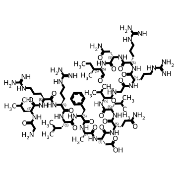 CC[C@H](C)[C@@H](C=O)NC(=O)[C@H](CC(N)=O)NC(=O)[C@H](CCCNC(=N)N)NC(=O)[C@H](CCCNC(=N)N)NC(=O)CNC(=O)[C@@H](NC(=O)[C@H](CC(C)C)NC(=O)[C@H](CCC(N)=O)NC(=O)[C@H](CC(=O)O)NC(=O)[C@H](C)NC(=O)[C@H](Cc1ccccc1)NC(=O)[C@H](CC(C)C)NC(=O)[C@H](CCCNC(=N)N)NC(=O)[C@H](CCCNC(=N)N)NC(=O)[C@H](CC(C)C)NC(=O)CN)C(C)C